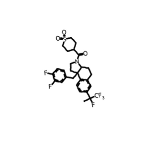 CC(F)(c1ccc2c(c1)CCC1N(C(=O)C3CCS(=O)(=O)CC3)CCC21Cc1ccc(F)c(F)c1)C(F)(F)F